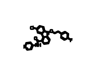 O=C(Nc1ccncc1)c1cccc2c1c1cc(Cl)ccc1n2OCCc1ccc(F)cc1